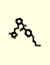 CCCCCCC=COc1ccc(C(=O)Nc2ccccc2OCc2nnn[nH]2)cc1